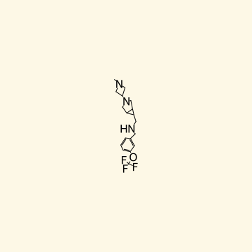 CN1CC(N2CC3C(CNCc4cccc(OC(F)(F)F)c4)C3C2)C1